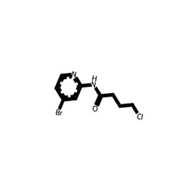 O=C(CCCCl)Nc1cc(Br)ccn1